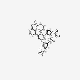 C[C@H](Oc1cccc(-c2cccc(-n3ncc(C(=O)O)c3[C@@H]3C[C@H]3c3cn(CC(F)(F)F)nn3)c2)c1)C1CCCCC1